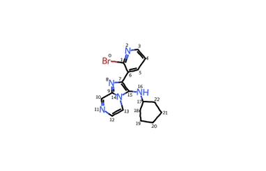 Brc1ncccc1-c1nc2cnccn2c1NC1CCCCC1